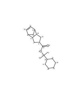 CC(C)(OC(=O)C1CC2C3C=CC(C3)C2C1)C1CCCCC1